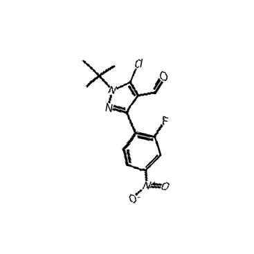 CC(C)(C)n1nc(-c2ccc([N+](=O)[O-])cc2F)c(C=O)c1Cl